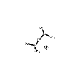 CC(=O)[N](C)[Ti+2][N](C)C(C)=O.[Cl-].[Cl-]